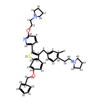 Cc1cc(Cc2c(-c3ccc(OCCN4CCCC4)nc3)sc3cc(OCc4ccccc4)ccc23)ccc1CCN1CCCC1